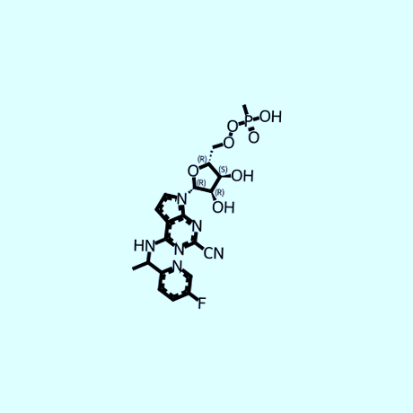 CC(Nc1nc(C#N)nc2c1ccn2[C@@H]1O[C@H](COOP(C)(=O)O)[C@@H](O)[C@H]1O)c1ccc(F)cn1